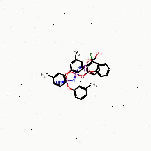 Cc1cccc(OP(=N)(N=P(/N=[PH](/OCO)Oc2ccccc2)(Oc2cccc(C)c2)Oc2cccc(F)c2)Oc2cccc(C(F)(F)F)c2)c1